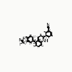 N#Cc1cccc(C2CCc3c(cccc3-c3cccc(OC(F)(F)F)c3)N2)c1